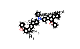 CCCCCCCC1(CCCCCCC)c2cc(N(c3ccccc3)c3ccc4c(c3)C(C)(C)c3cc5c(cc3-4)C(C)(C)c3ccc4oc6ccccc6c4c3-5)ccc2-c2c1c1c(c3c2oc2ccccc23)-c2ccccc2C1(CCCCCCC)CCCCCCC